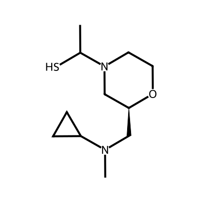 CC(S)N1CCO[C@@H](CN(C)C2CC2)C1